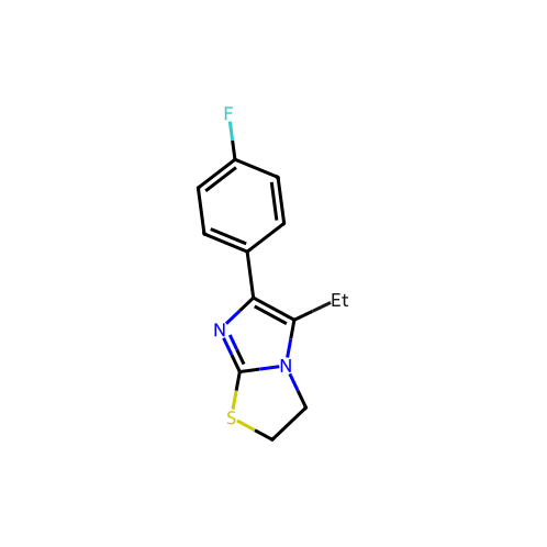 CCc1c(-c2ccc(F)cc2)nc2n1CCS2